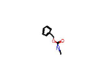 CC=NC(=O)OCc1ccccc1